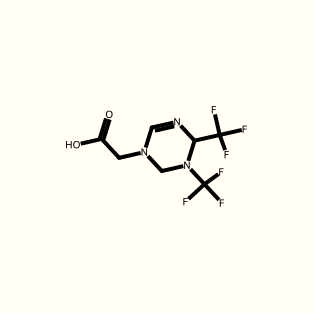 O=C(O)CN1C=NC(C(F)(F)F)N(C(F)(F)F)C1